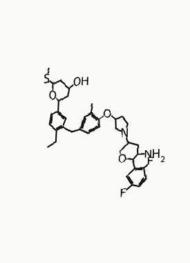 CCc1ccc(C2CC(O)CC(SC)O2)cc1Cc1ccc(OC2CCN(C3COC(c4cc(F)ccc4F)C(N)C3)C2)c(C)c1